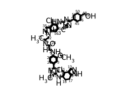 COc1cc(-c2nc(NC3=C(Cl)c4cn[nH]c4CC3)n(C)n2)ccc1NCC(=O)NC(C)Cn1ncc2c(Cl)c(Nc3nc(C4=CC=C(CO)CC4)nn3C)ccc21